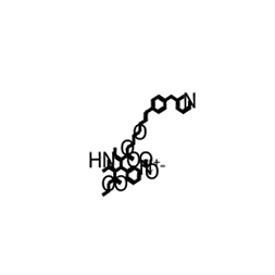 CCOC(=O)C1=C(C)NC(C)=C(C(=O)OCCOCC=Cc2ccc(Cc3cccnc3)cc2)C1c1cccc([N+](=O)[O-])c1